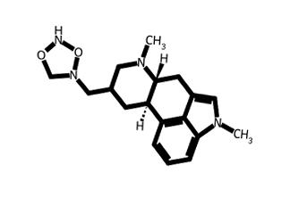 CN1CC(CN2CONO2)C[C@@H]2c3cccc4c3c(cn4C)C[C@H]21